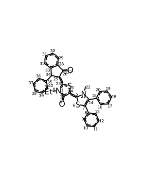 CCn1c(=O)/c(=C2\SC(c3ccccc3)=C(c3ccccc3)N2C)s/c1=C1\C(=O)c2ccccc2C1c1ccccc1